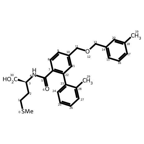 CSCC[C@H](NC(=O)c1ccc(COCc2cccc(C)c2)cc1-c1ccccc1C)C(=O)O